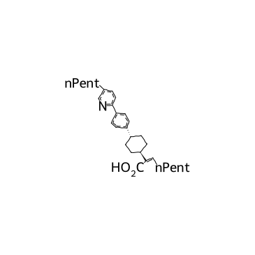 CCCCCC=C(C(=O)O)[C@H]1CC[C@H](c2ccc(-c3ccc(CCCCC)cn3)cc2)CC1